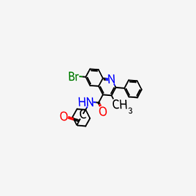 Cc1c(-c2ccccc2)nc2ccc(Br)cc2c1C(=O)NC12CCC(CC1)C(=O)C2